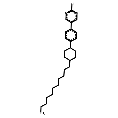 CCCCCCCCCCCC1CCC(c2ccc(-c3cnc(Cl)nc3)cc2)CC1